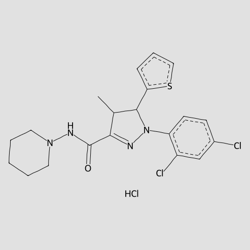 CC1C(C(=O)NN2CCCCC2)=NN(c2ccc(Cl)cc2Cl)C1c1cccs1.Cl